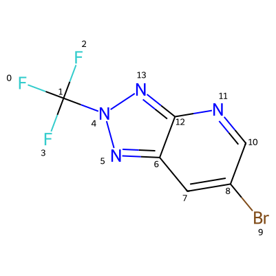 FC(F)(F)n1nc2cc(Br)cnc2n1